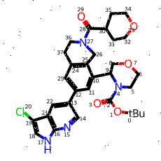 CC(C)(C)OC(=O)N1CCOCC1c1cc(-c2cnc3[nH]cc(Cl)c3c2)cc2c1CN(C(=O)C1CCOCC1)CC2